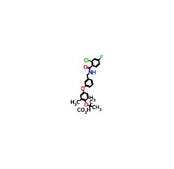 Cc1cc(Oc2cccc(CNC(=O)c3ccc(F)cc3Cl)c2)ccc1OC(C)(C)C(=O)O